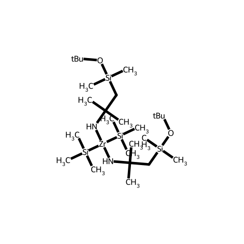 CC(C)(C[Si](C)(C)OC(C)(C)C)[NH][Zr]([NH]C(C)(C)C[Si](C)(C)OC(C)(C)C)([Si](C)(C)C)[Si](C)(C)C